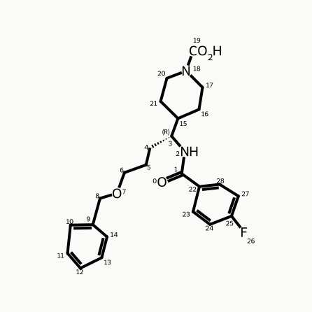 O=C(N[C@H](CCCOCc1ccccc1)C1CCN(C(=O)O)CC1)c1ccc(F)cc1